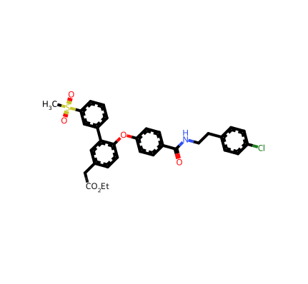 CCOC(=O)Cc1ccc(Oc2ccc(C(=O)NCCc3ccc(Cl)cc3)cc2)c(-c2cccc(S(C)(=O)=O)c2)c1